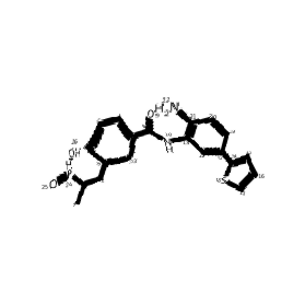 CC(Cc1cccc(C(=O)Nc2cc(-c3cccs3)ccc2N)c1)[PH](=O)O